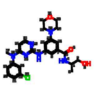 C[C@H](CO)NC(=O)c1cc(Nc2nccc(N(C)c3cccc(Cl)c3)n2)cc(N2CCOCC2)c1